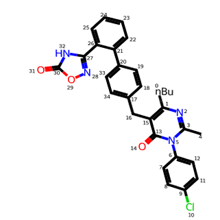 CCCCc1nc(C)n(-c2ccc(Cl)cc2)c(=O)c1Cc1ccc(-c2ccccc2-c2noc(=O)[nH]2)cc1